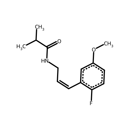 COc1ccc(F)c(/C=C\CNC(=O)C(C)C)c1